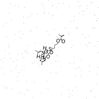 C=C(C)C(=O)OCCC[SiH2]OC(O[SiH2]C=C(C)C)O[SiH2]C=C(C)C